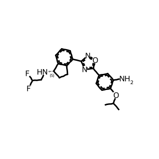 CC(C)Oc1ccc(-c2nc(-c3cccc4c3CC[C@@H]4NCC(F)F)no2)cc1N